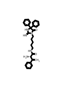 C=C(c1ccccc1)[C@H](N)C(=O)NCCCCCN1C(=N)NC(c2ccccc2)(c2ccccc2)C1=O